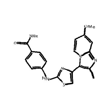 CNC(=O)c1ccc(Nc2nc(-c3c(C)nc4cc(OC)ccn34)cs2)cc1